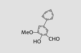 COc1cc(-c2ccccc2)cc(C=O)c1O